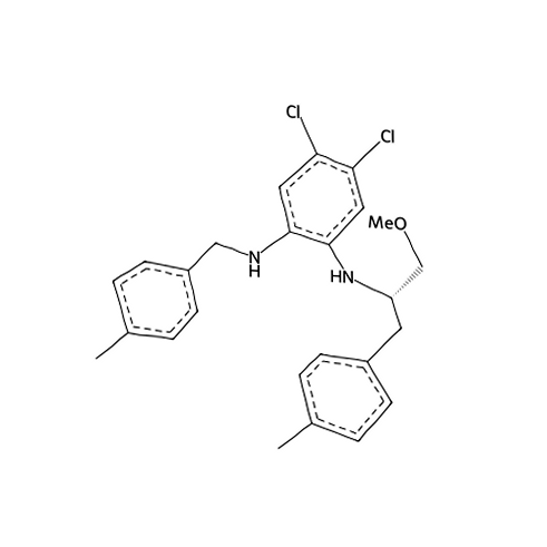 COC[C@H](Cc1ccc(C)cc1)Nc1cc(Cl)c(Cl)cc1NCc1ccc(C)cc1